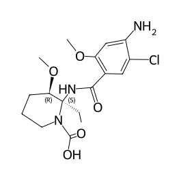 CC[C@@]1(NC(=O)c2cc(Cl)c(N)cc2OC)[C@H](OC)CCCN1C(=O)O